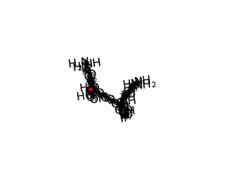 N=C(N)Nc1ccc(C(=O)Oc2ccc(CNS(=O)(=O)N(CCOCCOCCOCCOCCN([C@@H](CC(=O)OC(=O)C(F)(F)F)C(=O)O)S(=O)(=O)NCc3ccc(OC(=O)c4ccc(NC(=N)N)cc4)cc3)[C@@H](CC(=O)O)C(=O)O)cc2)cc1